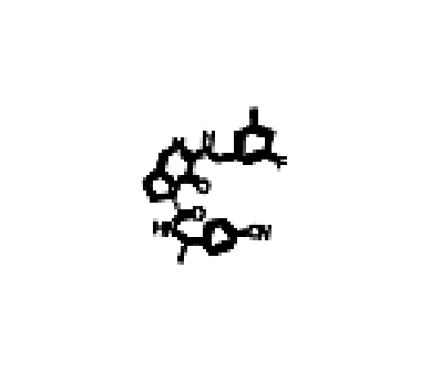 Cc1cc(F)cc(CNc2ncc3n(c2=O)[C@H](C(=O)N[C@H](C)c2ccc(C#N)cc2)CC3)c1